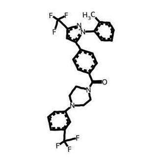 Cc1ccccc1-n1nc(C(F)(F)F)cc1-c1ccc(C(=O)N2CCN(c3cccc(C(F)(F)F)c3)CC2)cc1